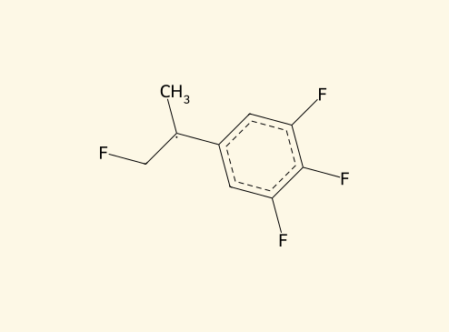 C[C](CF)c1cc(F)c(F)c(F)c1